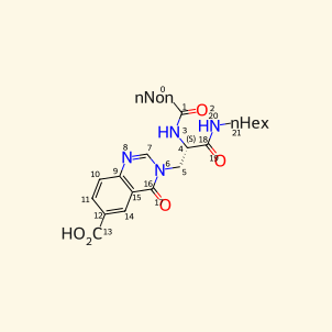 CCCCCCCCCC(=O)N[C@@H](Cn1cnc2ccc(C(=O)O)cc2c1=O)C(=O)NCCCCCC